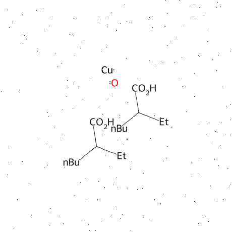 CCCCC(CC)C(=O)O.CCCCC(CC)C(=O)O.[Cu].[O]